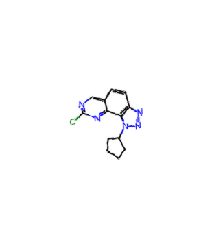 Clc1ncc2ccc3nnn(C4CCCC4)c3c2n1